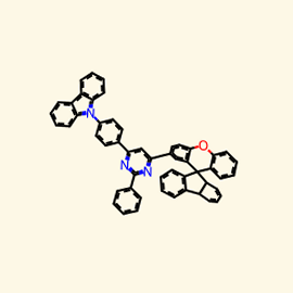 C1=CC2c3ccccc3C3(c4ccccc4Oc4ccc(-c5cc(-c6ccc(-n7c8ccccc8c8ccccc87)cc6)nc(-c6ccccc6)n5)cc43)C2C=C1